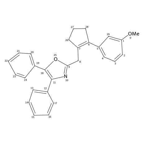 COc1cccc(C2=C(Cc3nc(-c4ccccc4)c(-c4ccccc4)o3)CCC2)c1